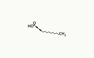 CCCCCCCCCCC#CC#CC(=O)O